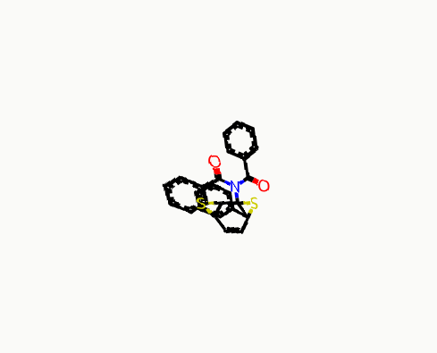 O=C(c1ccccc1)N(C(=O)c1ccccc1)C12SC1(c1ccccc1)C=CC1SC12